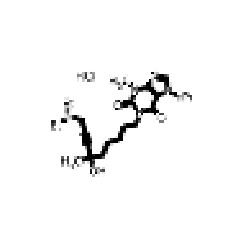 CCCn1cnc2c1c(=O)n(CCCCCC(C)(O)C#CCN(CC)CC)c(=O)n2C.Cl